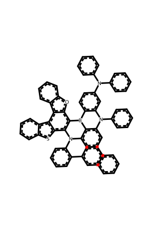 c1ccc(-c2cc3c4c(c2)N(c2ccccc2-c2ccccc2)c2c(c5oc6ccccc6c5c5c2sc2ccccc25)B4c2ccc(N(c4ccccc4)c4ccccc4)cc2N3c2ccccc2)cc1